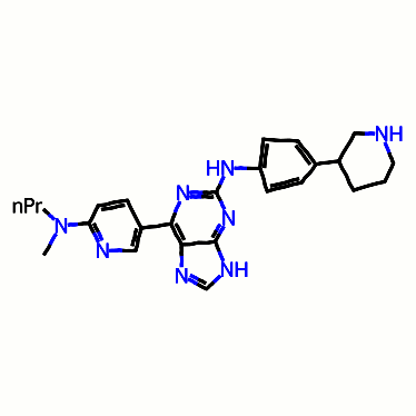 CCCN(C)c1ccc(-c2nc(Nc3ccc(C4CCCNC4)cc3)nc3[nH]cnc23)cn1